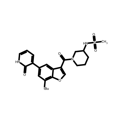 CC(C)(C)c1cc(-c2ccc[nH]c2=O)cc2c(C(=O)N3CCCC(NS(C)(=O)=O)C3)coc12